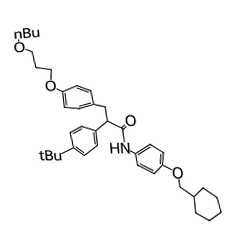 CCCCOCCCOc1ccc(CC(C(=O)Nc2ccc(OCC3CCCCC3)cc2)c2ccc(C(C)(C)C)cc2)cc1